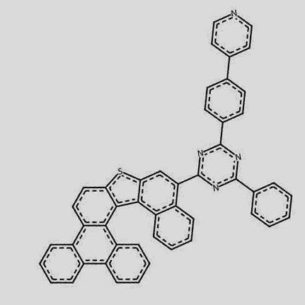 c1ccc(-c2nc(-c3ccc(-c4ccncc4)cc3)nc(-c3cc4sc5ccc6c7ccccc7c7ccccc7c6c5c4c4ccccc34)n2)cc1